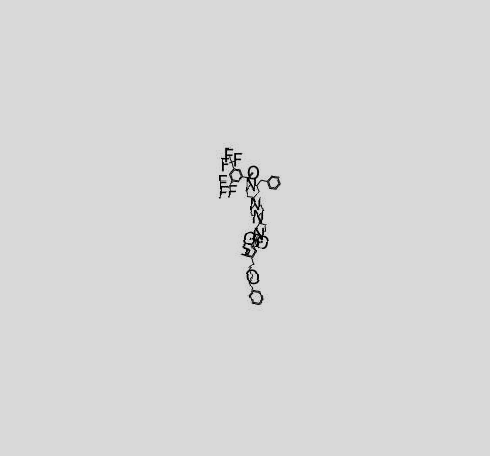 O=C(c1cc(C(F)(F)F)cc(C(F)(F)F)c1)N1CCC(N2CCN(C3CCN(S(=O)(=O)c4cc(CCOCc5ccccc5)cs4)C3)CC2)CC1Cc1ccccc1